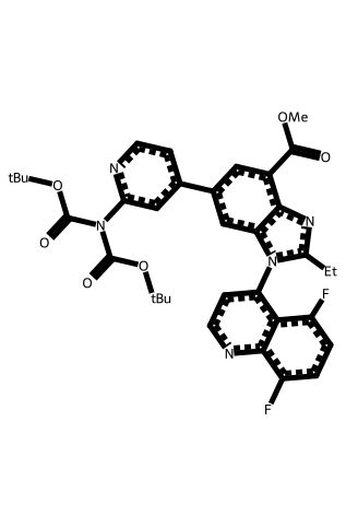 CCc1nc2c(C(=O)OC)cc(-c3ccnc(N(C(=O)OC(C)(C)C)C(=O)OC(C)(C)C)c3)cc2n1-c1ccnc2c(F)ccc(F)c12